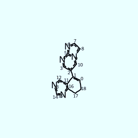 C1=C(c2cnc3nccn3c2)c2cncnc2CC1